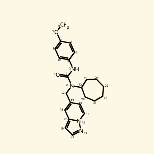 O=C(Nc1ccc(OC(F)(F)F)cc1)N(Cc1ccn2nccc2c1)C1CCCCCC1